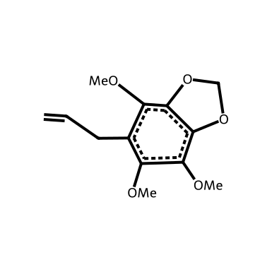 C=CCc1c(OC)c(OC)c2c(c1OC)OCO2